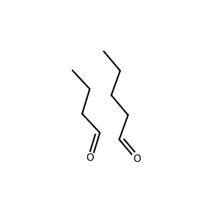 CCCC=O.CCCCC=O